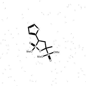 COP1(=O)OC(C)(P(=O)(OC)OC)CC1c1cccs1